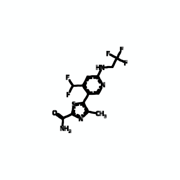 Cc1nc(C(N)=O)sc1-c1cnc(NCC(F)(F)F)cc1C(F)F